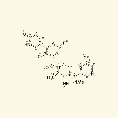 CN/C(=C1/CCN(C(=O)c2cc(F)cc(-c3ccc(=O)[nH]c3)c2Cl)C(C)C1=N)c1cncc(C(F)(F)F)n1